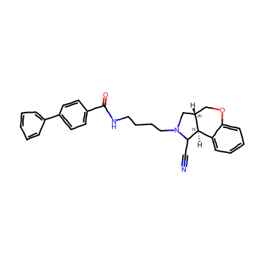 N#CC1[C@@H]2c3ccccc3OC[C@H]2CN1CCCCNC(=O)c1ccc(-c2ccccc2)cc1